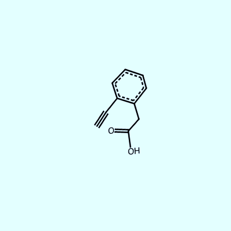 C#Cc1ccccc1CC(=O)O